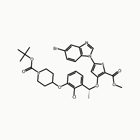 COC(=O)c1sc(-n2cnc3cc(Br)ccc32)cc1O[C@H](C)c1cccc(OC2CCN(C(=O)OC(C)(C)C)CC2)c1Cl